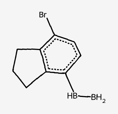 BBc1ccc(Br)c2c1CCC2